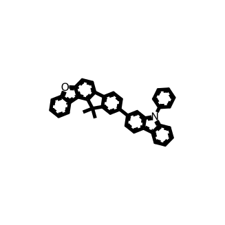 CC1(C)c2cc(-c3ccc4c5ccccc5n(-c5ccccc5)c4c3)ccc2-c2ccc3oc4ccccc4c3c21